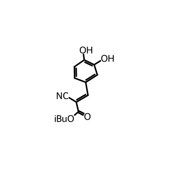 CC(C)COC(=O)/C(C#N)=C/c1ccc(O)c(O)c1